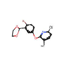 N#Cc1ccc(C#N)c(Oc2ccc(Br)c(C3OCCO3)c2)n1